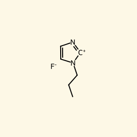 CCCN1[C+]=NC=C1.[F-]